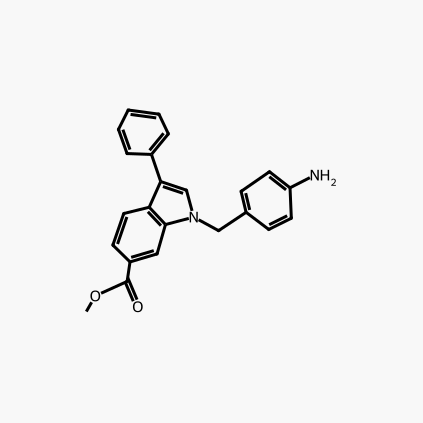 COC(=O)c1ccc2c(-c3ccccc3)cn(Cc3ccc(N)cc3)c2c1